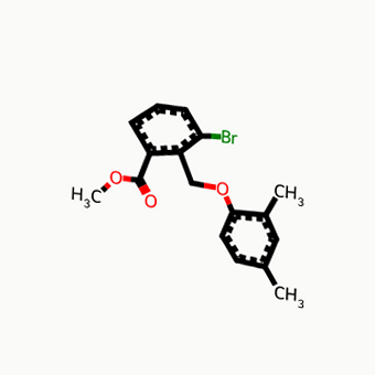 COC(=O)c1cccc(Br)c1COc1ccc(C)cc1C